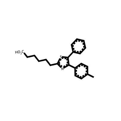 Cc1ccc(-c2nc(CCCCCC(=O)O)sc2-c2ccccc2)cc1